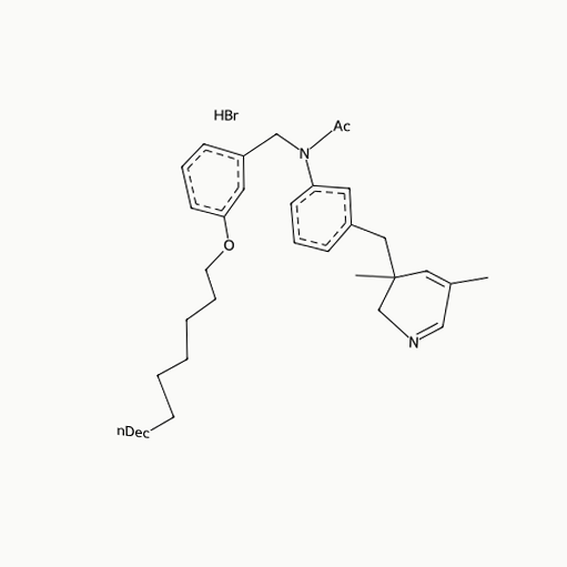 Br.CCCCCCCCCCCCCCCCOc1cccc(CN(C(C)=O)c2cccc(CC3(C)C=C(C)C=NC3)c2)c1